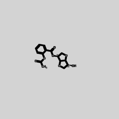 CC(=O)Oc1ccccc1C(=O)O[C@H]1COC2C1OC[C@H]2O